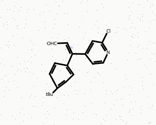 CC(C)(C)c1ccc(/C(=C\[C]=O)c2ccnc(Cl)c2)cc1